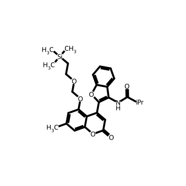 Cc1cc(OCOCC[Si](C)(C)C)c2c(-c3oc4ccccc4c3NC(=O)C(C)C)cc(=O)oc2c1